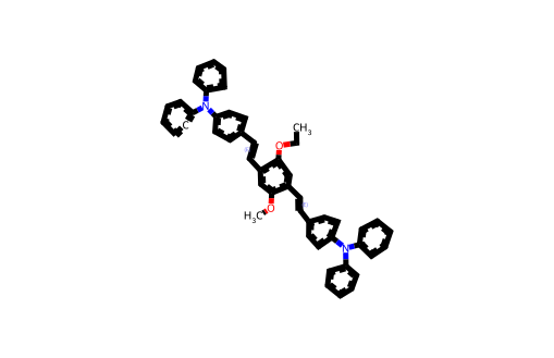 CCOc1cc(/C=C/c2ccc(N(c3ccccc3)c3ccccc3)cc2)c(OC)cc1/C=C/c1ccc(N(c2ccccc2)c2ccccc2)cc1